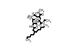 C=CCCCC(CCCCCC)CC(=O)N[C@@H](CC(C)C)C(=O)N[C@@H](CC(CC=C)C(=O)N(C)C)C(=O)OCC